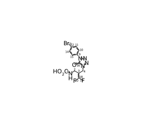 O=C(O)NCC(Cn1nnn(-c2ccc(Br)cc2)c1=O)=C(F)F